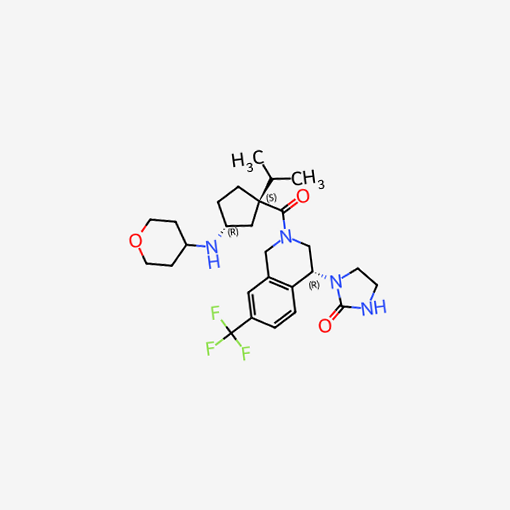 CC(C)[C@]1(C(=O)N2Cc3cc(C(F)(F)F)ccc3[C@@H](N3CCNC3=O)C2)CC[C@@H](NC2CCOCC2)C1